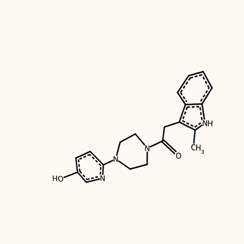 Cc1[nH]c2ccccc2c1CC(=O)N1CCN(c2ccc(O)cn2)CC1